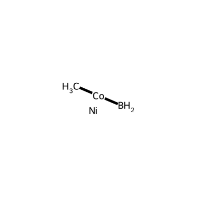 [BH2][Co][CH3].[Ni]